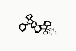 CC1(C)c2ccccc2-c2c1ccc1cc3c(cc21)c1ccccc1n3-c1ccccc1